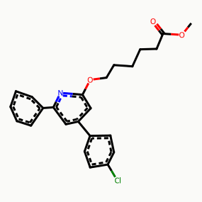 COC(=O)CCCCCOc1cc(-c2ccc(Cl)cc2)cc(-c2ccccc2)n1